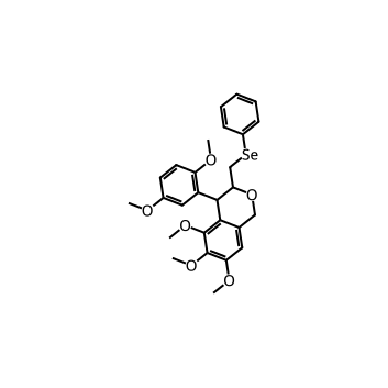 COc1ccc(OC)c(C2c3c(cc(OC)c(OC)c3OC)COC2C[Se]c2ccccc2)c1